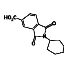 O=C(O)c1ccc2c(c1)C(=O)N(C1CCCCC1)C2=O